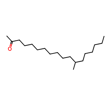 CCCCCCC(C)CCCCCCCCCC(C)=O